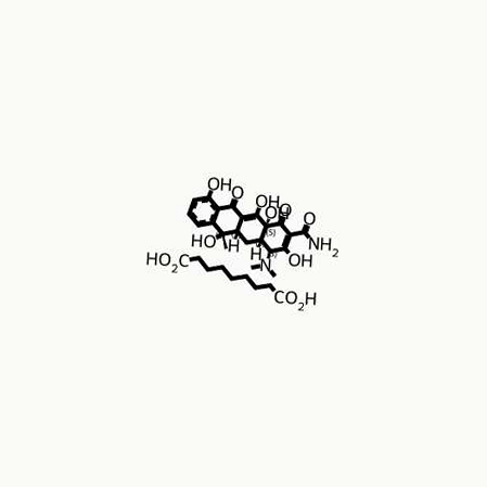 CN(C)[C@@H]1C(O)=C(C(N)=O)C(=O)[C@@]2(O)C(O)=C3C(=O)c4c(O)cccc4[C@@](C)(O)[C@H]3C[C@@H]12.O=C(O)CCCCCCCC(=O)O